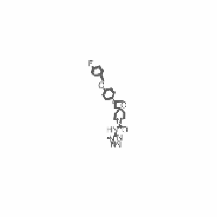 Cn1nnnc1NC(=O)N1CCC2(CC1)C[C@@H](c1ccc(OCc3ccc(F)cc3)cc1)CO2